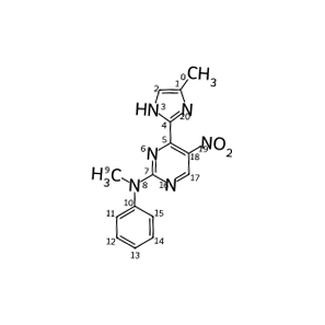 Cc1c[nH]c(-c2nc(N(C)c3ccccc3)ncc2[N+](=O)[O-])n1